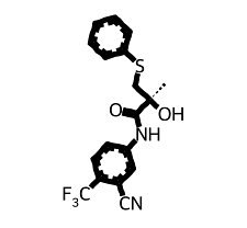 C[C@@](O)(CSc1ccccc1)C(=O)Nc1ccc(C(F)(F)F)c(C#N)c1